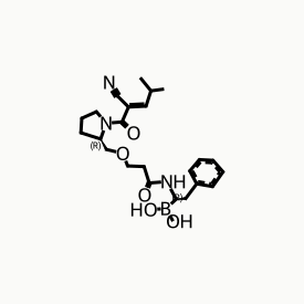 CC(C)C=C(C#N)C(=O)N1CCC[C@@H]1COCCC(=O)N[C@@H](Cc1ccccc1)B(O)O